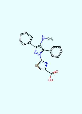 CNc1c(-c2ccccc2)nn(-c2nc(C(=O)O)cs2)c1-c1ccccc1